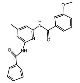 COc1cccc(C(=O)Nc2cc(C)nc(NC(=O)c3ccccc3)n2)c1